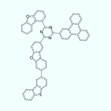 c1ccc2c(c1)oc1cccc(-c3nc(-c4ccc5oc6cc(-c7ccc8sc9ccccc9c8c7)ccc6c5c4)nc(-c4ccc5c6ccccc6c6ccccc6c5c4)n3)c12